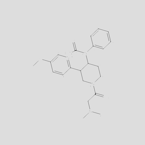 COc1ccc(C2CN(C(=O)CN(C)C)CCC2N(C(N)=O)c2ccccc2)nc1